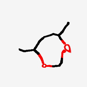 CC1CC(C)OCO1